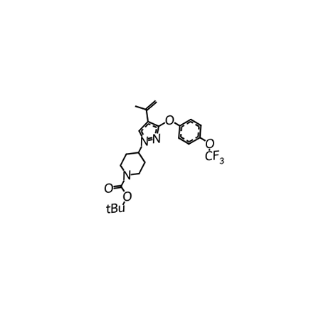 C=C(C)c1cn(C2CCN(C(=O)OC(C)(C)C)CC2)nc1Oc1ccc(OC(F)(F)F)cc1